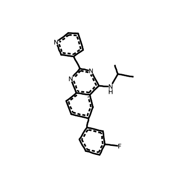 CC(C)Nc1nc(-c2cccnc2)nc2ccc(-c3cccc(F)c3)cc12